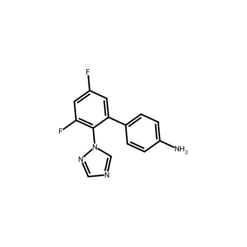 Nc1ccc(-c2cc(F)cc(F)c2-n2cncn2)cc1